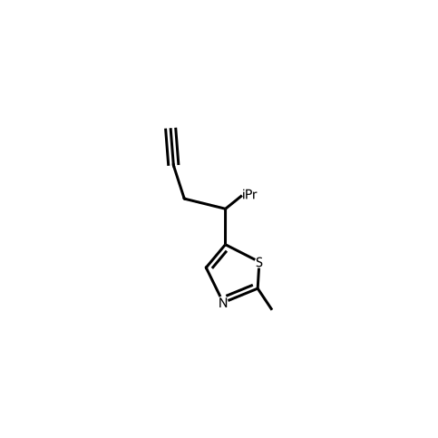 C#CCC(c1cnc(C)s1)C(C)C